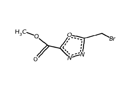 COC(=O)c1nnc(CBr)o1